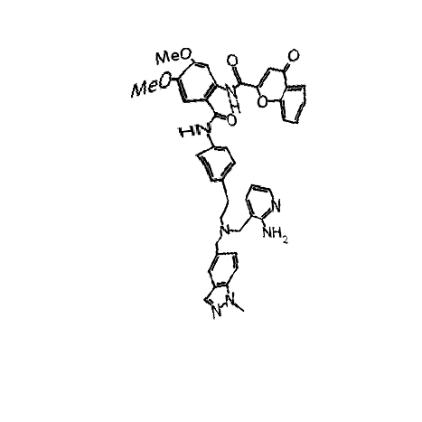 COc1cc(NC(=O)c2cc(=O)c3ccccc3o2)c(C(=O)Nc2ccc(CCN(Cc3ccc4c(cnn4C)c3)Cc3cccnc3N)cc2)cc1OC